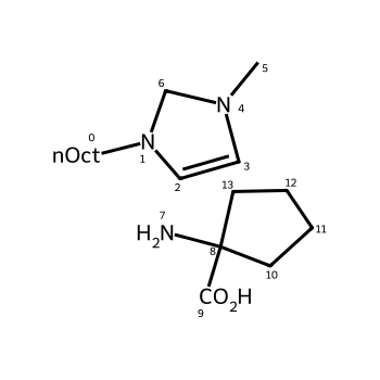 CCCCCCCCN1C=CN(C)C1.NC1(C(=O)O)CCCC1